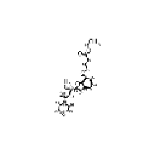 CCOC(=O)CCCOc1cccc2cc(/C(C)=C/C(=O)N3CCOCC3)oc12